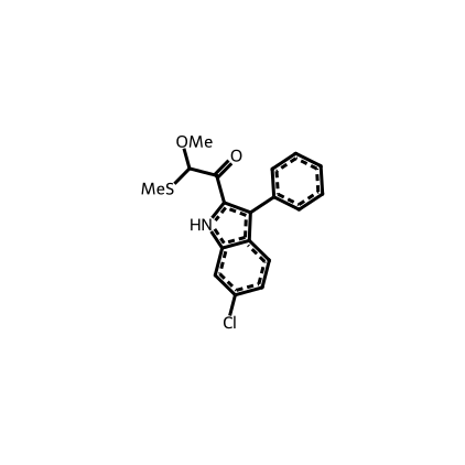 COC(SC)C(=O)c1[nH]c2cc(Cl)ccc2c1-c1ccccc1